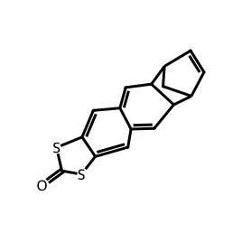 O=c1sc2cc3c(cc2s1)=CC1C2C=CC(C2)C1C=3